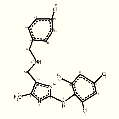 FC(F)(F)c1nc(Nc2c(Cl)cc(Cl)cc2Cl)sc1CNCc1ccc(Cl)cc1